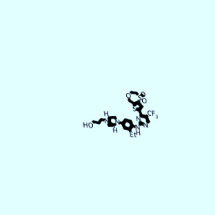 CCc1cc(N2C[C@H]3C[C@@H]2CN3CCCO)ccc1Nc1ncc(C(F)(F)F)c(-c2cc3c(s2)COCCS3(=O)=O)n1